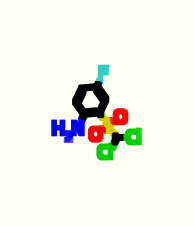 Nc1ccc(F)cc1S(=O)(=O)C(Cl)Cl